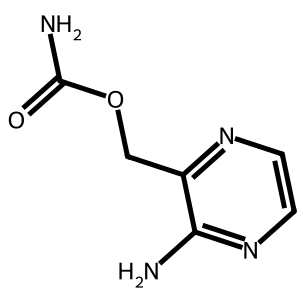 NC(=O)OCc1nccnc1N